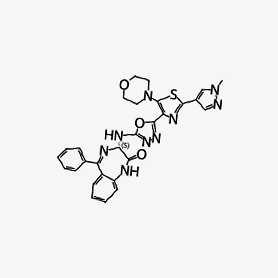 Cn1cc(-c2nc(-c3nnc(N[C@H]4N=C(c5ccccc5)c5ccccc5NC4=O)o3)c(N3CCOCC3)s2)cn1